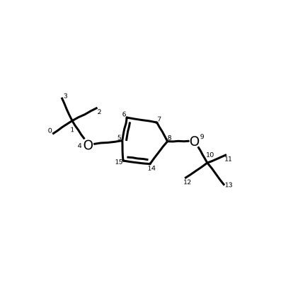 CC(C)(C)OC1=CCC(OC(C)(C)C)C=C1